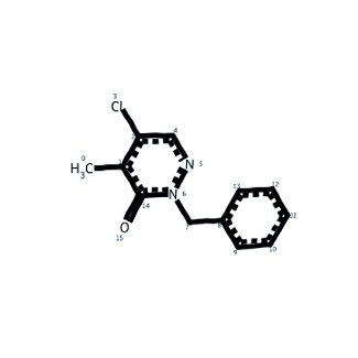 Cc1c(Cl)cnn(Cc2ccccc2)c1=O